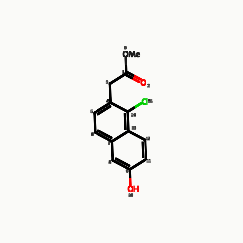 COC(=O)Cc1ccc2cc(O)ccc2c1Cl